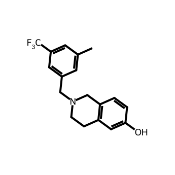 Cc1cc(CN2CCc3cc(O)ccc3C2)cc(C(F)(F)F)c1